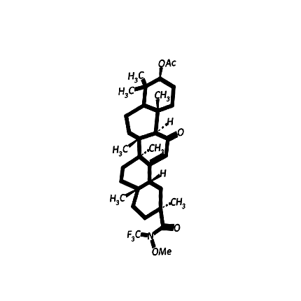 CON(C(=O)[C@@]1(C)CC[C@]2(C)CC[C@]3(C)C(=CC(=O)[C@@H]4[C@@]5(C)CC[C@H](OC(C)=O)C(C)(C)C5CC[C@]43C)[C@@H]2C1)C(F)(F)F